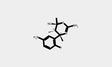 C[C@@H]1[C@@](C)(C#N)SC(N)=N[C@]1(C)c1cc(N)ccc1F